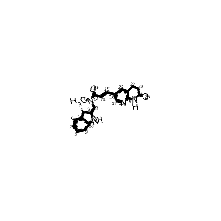 CN(CC1Cc2ccccc2N1)C(=O)/C=C/c1cnc2c(c1)CCC(=O)N2